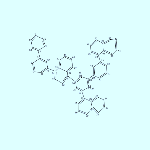 c1cncc(-c2cccc(-c3ccc(-c4cc(-c5cccc6ccccc56)nc(-c5cccc(-c6cccc7ccccc67)c5)n4)c4ccccc34)c2)c1